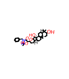 CC(=O)O[C@H](C(=O)NCc1ccccc1)C1C[C@@H](C)[C@H]2C(O1)[C@H](O)[C@@]1(C)C3CC[C@H]4C(C)(C)[C@@H](O)CC[C@@]45CC35CC[C@]21C